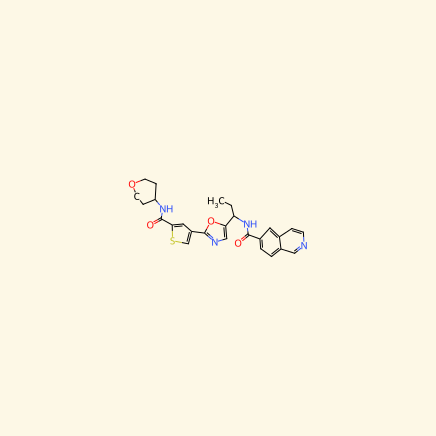 CCC(NC(=O)c1ccc2cnccc2c1)c1cnc(-c2csc(C(=O)NC3CCOCC3)c2)o1